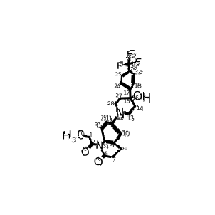 CCC(=O)N1C(=O)CCc2cc(N3CCC(O)(c4ccc(C(F)(F)F)cc4)CC3)ccc21